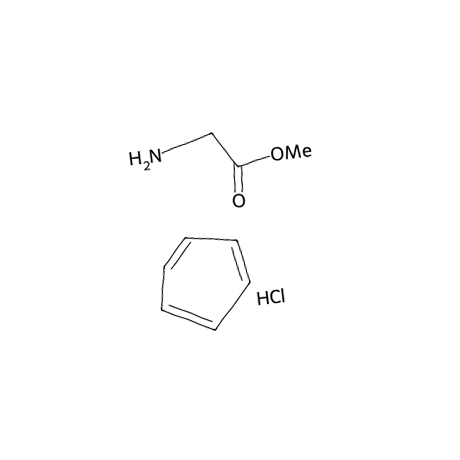 COC(=O)CN.Cl.c1ccccc1